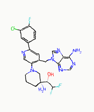 Nc1ncnc2c1ncn2Cc1cc(-c2ccc(F)c(Cl)c2)ncc1N1CCC[C@](N)([C@H](O)C(F)F)C1